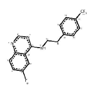 Fc1ccc2ncnc(NCCc3ccc(C(F)(F)F)cc3)c2c1